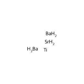 [BaH2].[BaH2].[SrH2].[Ti]